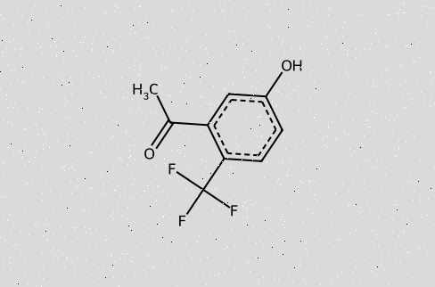 CC(=O)c1cc(O)ccc1C(F)(F)F